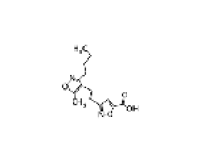 CCCCc1noc(C)c1C=Cc1cc(C(=O)O)on1